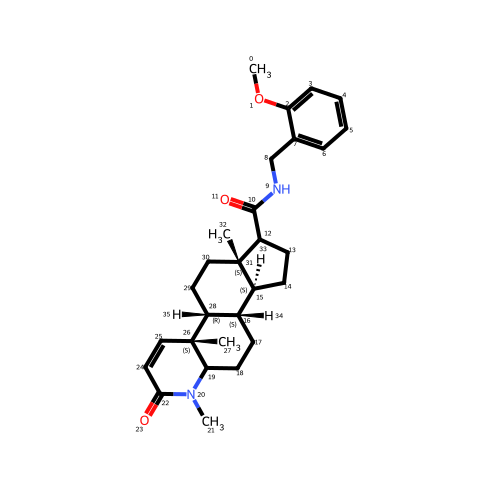 COc1ccccc1CNC(=O)C1CC[C@H]2[C@@H]3CCC4N(C)C(=O)C=C[C@]4(C)[C@@H]3CC[C@]12C